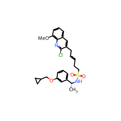 COc1cccc2cc(C/C=C/CCS(=O)(=O)N[C@H](C)c3cccc(OCC4CC4)c3)c(Cl)nc12